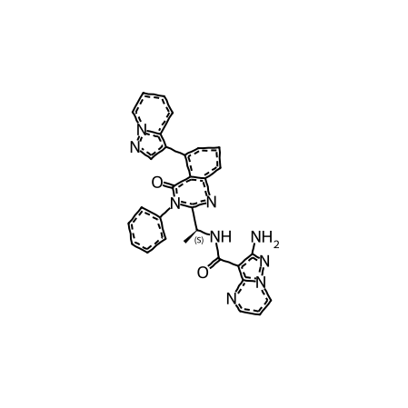 C[C@H](NC(=O)c1c(N)nn2cccnc12)c1nc2cccc(-c3cnn4ccccc34)c2c(=O)n1-c1ccccc1